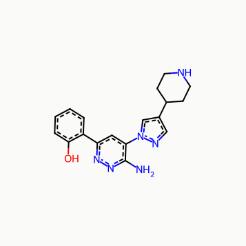 Nc1nnc(-c2ccccc2O)cc1-n1cc(C2CCNCC2)cn1